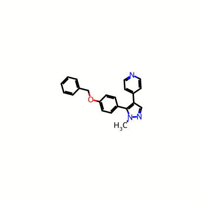 Cn1ncc(-c2ccncc2)c1-c1ccc(OCc2ccccc2)cc1